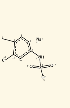 Cc1ccc(NS(=O)(=O)[O-])cc1Cl.[Na+]